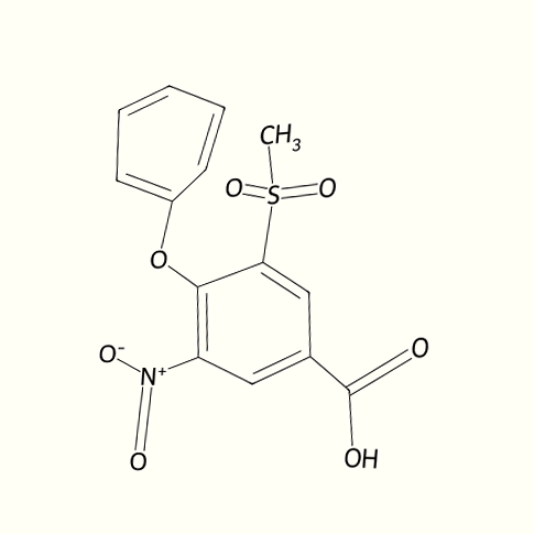 CS(=O)(=O)c1cc(C(=O)O)cc([N+](=O)[O-])c1Oc1ccccc1